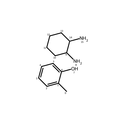 Cc1ccccc1O.NC1CCCCC1N